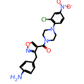 Nc1ccc(Cc2nocc2C(=O)N2CCN(c3ccc([N+](=O)[O-])cc3Cl)CC2)cc1